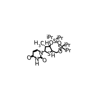 CC(C)[Si]1(C(C)C)OC[C@H]2S[C@@H](n3ccc(=O)[nH]c3=O)[C@H](C)[C@@H]2O[Si](C(C)C)(C(C)C)O1